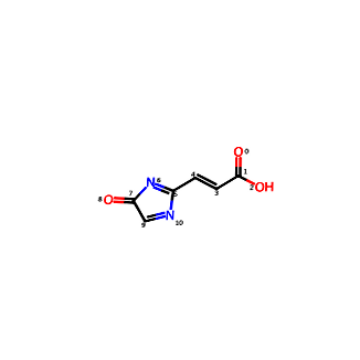 O=C(O)C=CC1=NC(=O)C=N1